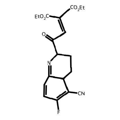 CCOC(=O)C(=CC(=O)C1CCC2C(=N1)C=CC(F)=C2C#N)C(=O)OCC